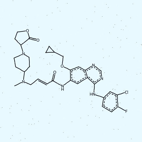 CN(CC=CC(=O)Nc1cc2c(Nc3ccc(F)c(Cl)c3)ncnc2cc1OCC1CC1)C1CCN(C2CCOC2=O)CC1